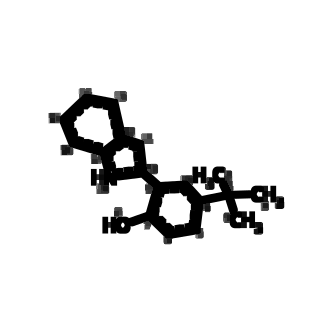 CC(C)(C)c1ccc(O)c(-c2cc3ccccc3[nH]2)c1